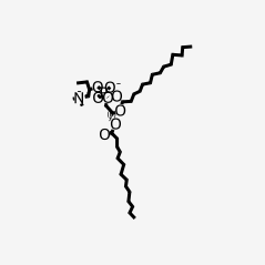 CCCCCCCCCCCCCC(=O)OC[C@H](COP(=O)([O-])OC(CC)C[N+](C)(C)C)OC(=O)CCCCCCCCCCCCC